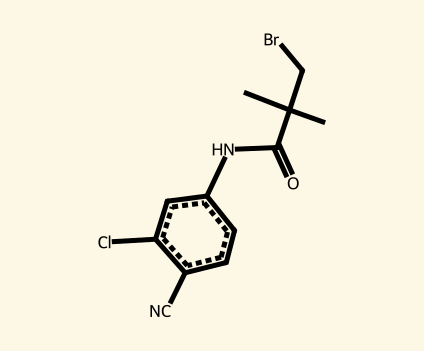 CC(C)(CBr)C(=O)Nc1ccc(C#N)c(Cl)c1